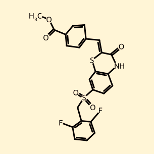 COC(=O)c1ccc(/C=C2\Sc3cc(S(=O)(=O)Cc4c(F)cccc4F)ccc3NC2=O)cc1